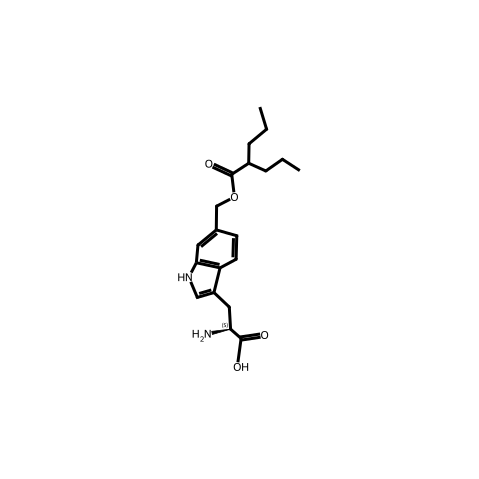 CCCC(CCC)C(=O)OCc1ccc2c(C[C@H](N)C(=O)O)c[nH]c2c1